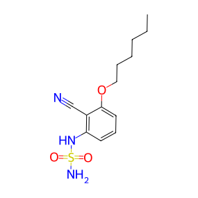 CCCCCCOc1cccc(NS(N)(=O)=O)c1C#N